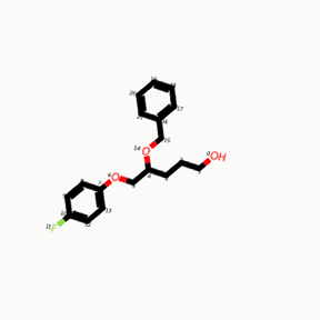 OCCCC(COc1ccc(F)cc1)OCc1ccccc1